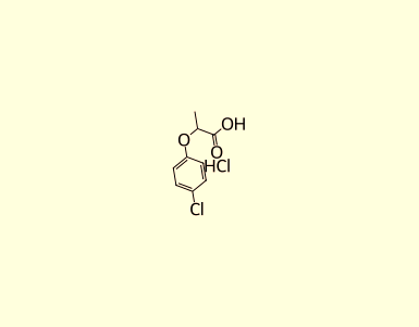 CC(Oc1ccc(Cl)cc1)C(=O)O.Cl